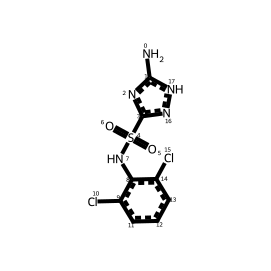 Nc1nc(S(=O)(=O)Nc2c(Cl)cccc2Cl)n[nH]1